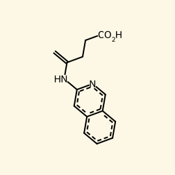 C=C(CCC(=O)O)Nc1cc2ccccc2cn1